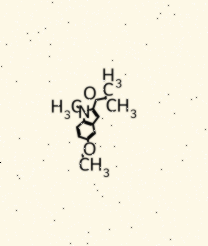 CCOc1ccc2c(c1)cc(C(=O)C(C)C)n2C